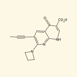 CC#Cc1cc2c(=O)c(C(=O)O)c[nH]c2nc1N1CCC1